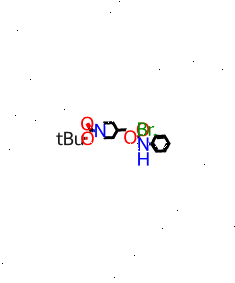 CC(C)(C)OC(=O)N1CCC(COC(=O)Nc2ccccc2Br)CC1